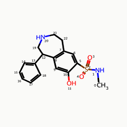 CNS(=O)(=O)c1cc2c(cc1O)C(c1ccccc1)CNCC2